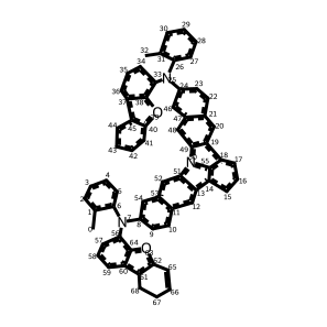 Cc1ccccc1N(c1ccc2cc3c4cccc5c6cc7ccc(N(c8ccccc8C)c8cccc9c8oc8ccccc89)cc7cc6n(c3cc2c1)c45)c1cccc2c3c(oc12)C=CCC3